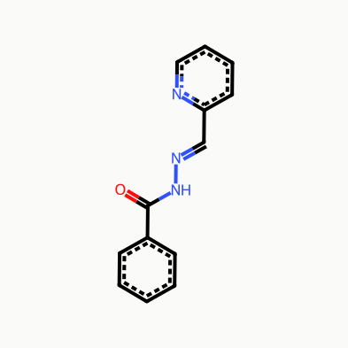 O=C(NN=Cc1ccccn1)c1ccccc1